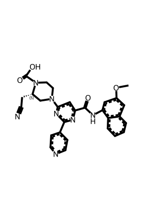 COc1cc(NC(=O)c2cc(N3CCN(C(=O)O)[C@@H](CC#N)C3)nc(-c3ccncc3)n2)c2ccccc2c1